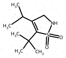 CC(C)C1=C(C(C)(C)C)S(=O)(=O)NC1